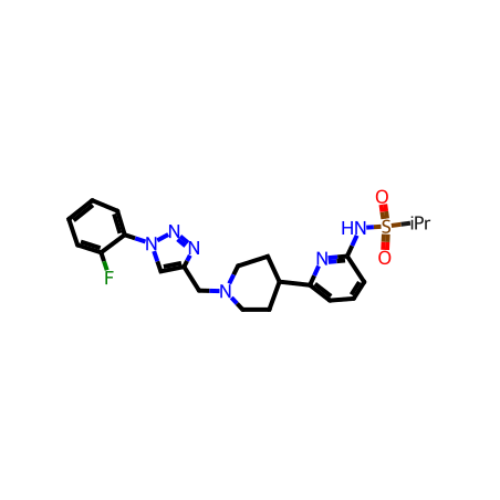 CC(C)S(=O)(=O)Nc1cccc(C2CCN(Cc3cn(-c4ccccc4F)nn3)CC2)n1